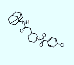 O=C(CC1CCCN(S(=O)(=O)c2ccc(Cl)cc2)C1)NC12CC3CC(CC(C3)C1)C2